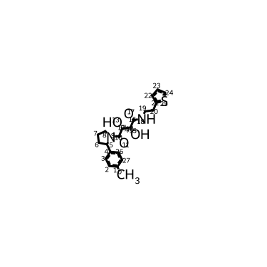 Cc1ccc(C2CCCN2C(=O)[C@H](O)[C@@H](O)C(=O)NCCc2cccs2)cc1